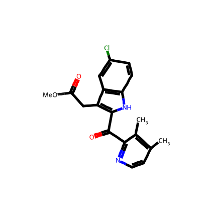 COC(=O)Cc1c(C(=O)c2nccc(C)c2C)[nH]c2ccc(Cl)cc12